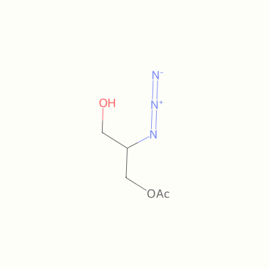 CC(=O)OCC(CO)N=[N+]=[N-]